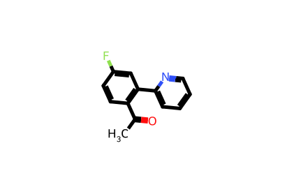 CC(=O)c1ccc(F)cc1-c1ccccn1